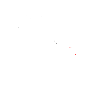 c1ccc(-c2ccccc2N(c2ccc3c(c2)C2(c4ccccc4-3)C3CC4CC(C3)CC2C4)c2ccc3ccccc3c2)cc1